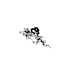 COC(=O)CC[C@H](NC(=O)[C@@H]1Cc2cccc3c2N1C(=O)[C@@H](NC(=O)[C@@H](NC(C)=O)C(C)C)CC3)C(=O)OC